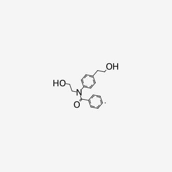 O=C(c1cc[c]cc1)N(CCO)c1ccc(CCO)cc1